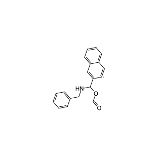 O=COC(NCc1ccccc1)c1[c]cc2ccccc2c1